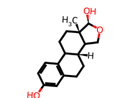 C[C@]12CCC3c4ccc(O)cc4CC[C@H]3C1CO[C@@H]2O